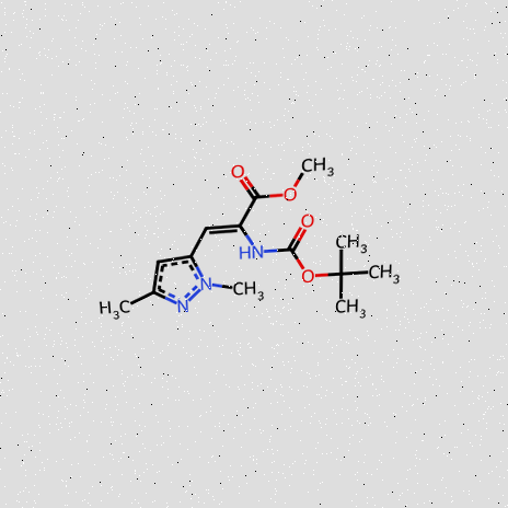 COC(=O)C(=Cc1cc(C)nn1C)NC(=O)OC(C)(C)C